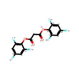 O=C(CC(=O)Oc1c(F)cc(F)cc1F)Oc1c(F)cc(F)cc1F